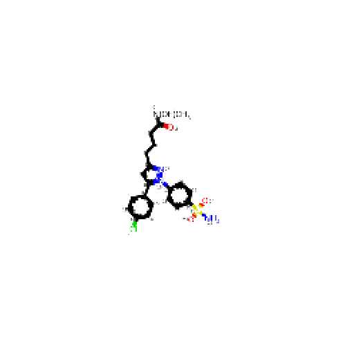 CN(O)C(=O)CCCc1cc(-c2ccc(Cl)cc2)n(-c2ccc(S(N)(=O)=O)cc2)n1